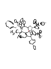 Cc1ncc2c(c1N(C(=O)C1C[C@H](O[N+](=O)[O-])[C@H](O[N+](=O)[O-])C1)[C@H](Cc1ccccc1)C(=O)O)COC2c1ccc(Cl)cc1